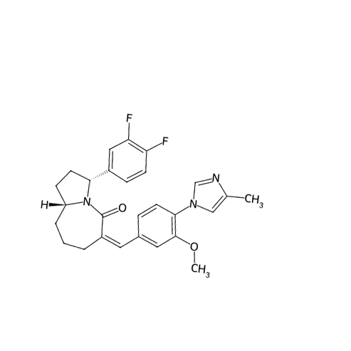 COc1cc(/C=C2/CCC[C@@H]3CC[C@H](c4ccc(F)c(F)c4)N3C2=O)ccc1-n1cnc(C)c1